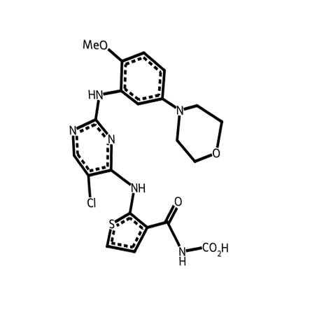 COc1ccc(N2CCOCC2)cc1Nc1ncc(Cl)c(Nc2sccc2C(=O)NC(=O)O)n1